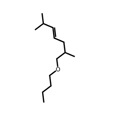 CCCCOCC(C)C/C=C/C(C)C